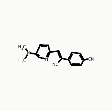 CN(C)c1ccc(/C=C(\C#N)c2ccc(C#N)cc2)nc1